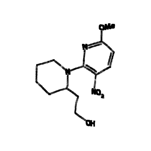 COc1ccc([N+](=O)[O-])c(N2CCCCC2CCO)n1